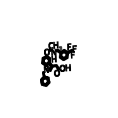 CC(NCc1cccc(C(F)(F)F)c1)Oc1ccc2c(c1)c(CC(=O)O)cn2Cc1ccccc1